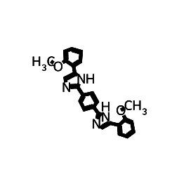 COc1ccccc1-c1cnc(-c2ccc(-c3ncc(-c4ccccc4OC)[nH]3)cc2)[nH]1